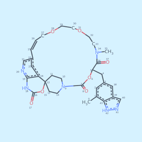 Cc1cc(CC2OC(=O)N3CCC4(CC3)OC(=O)Nc3ncc(cc34)C=CCOCCOCCN(C)C2=O)cc2cn[nH]c12